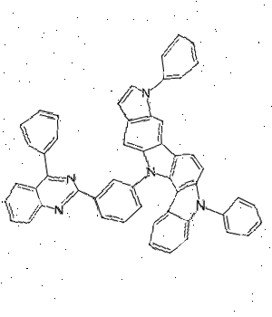 c1ccc(-c2nc(-c3cccc(-n4c5cc6ccn(-c7ccccc7)c6cc5c5ccc6c(c7ccccc7n6-c6ccccc6)c54)c3)nc3ccccc23)cc1